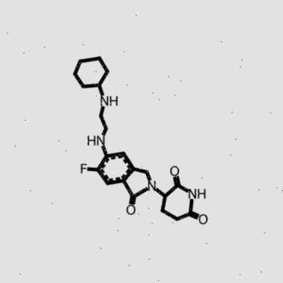 O=C1CCC(N2Cc3cc(NCCNC4CCCCC4)c(F)cc3C2=O)C(=O)N1